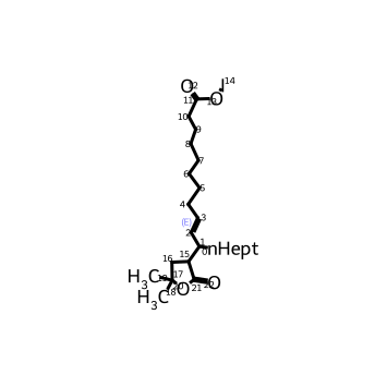 CCCCCCCC(/C=C/CCCCCCCC(=O)OI)C1CC(C)(C)OC1=O